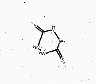 S=C1NNC(=S)NN1